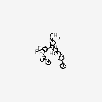 CCN1CCc2c(c(-c3ccc(C(F)(F)F)c(SCC(=O)N4CCCC4)c3)nn2CC(O)CN2CCC(c3ccccn3)CC2)C1